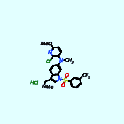 CNCc1cn(S(=O)(=O)c2cccc(C(F)(F)F)c2)c2cc(N(C)c3ccc(OC)nc3Cl)ccc12.Cl